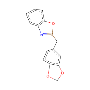 c1ccc2c(c1)N=S(Cc1ccc3c(c1)OCO3)O2